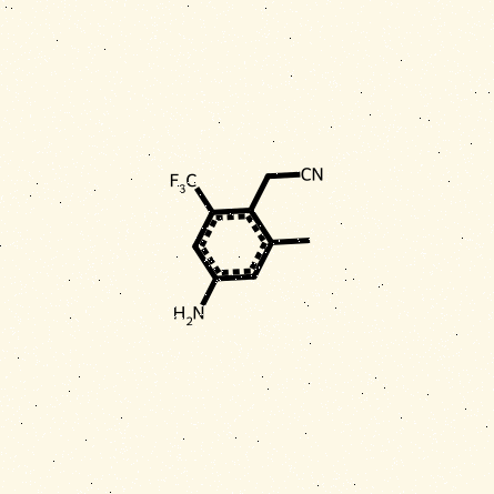 Cc1cc(N)cc(C(F)(F)F)c1CC#N